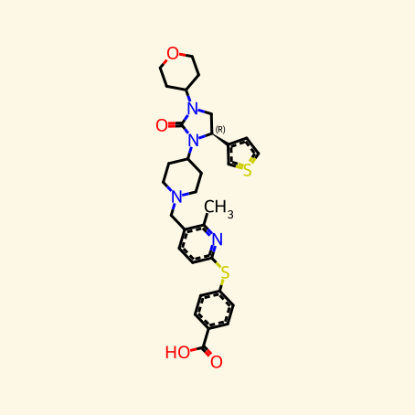 Cc1nc(Sc2ccc(C(=O)O)cc2)ccc1CN1CCC(N2C(=O)N(C3CCOCC3)C[C@H]2c2ccsc2)CC1